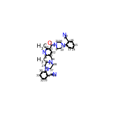 Cc1nc(C)c(C(=O)N2CCN(c3ccccc3C#N)CC2)cc1CN1CCN(c2ccccc2C#N)CC1